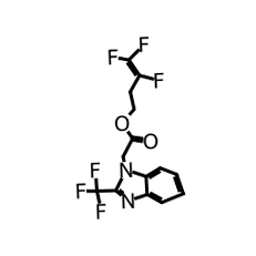 O=C(Cn1c(C(F)(F)F)nc2ccccc21)OCCC(F)=C(F)F